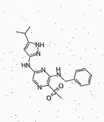 CC(C)c1cc(Nc2cnc(S(C)(=O)=O)c(NCc3ccccc3)n2)n[nH]1